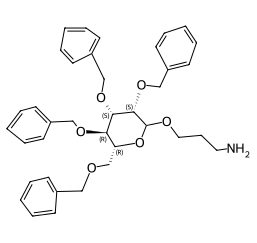 NCCCOC1O[C@H](COCc2ccccc2)[C@@H](OCc2ccccc2)[C@H](OCc2ccccc2)[C@@H]1OCc1ccccc1